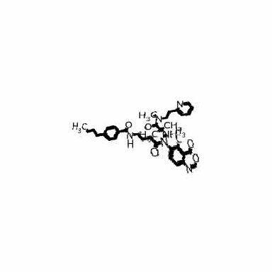 CCCCc1ccc(C(=O)NCCCC(=O)N(NC(C)(C)C(=O)N(C)CCc2ccccn2)c2ccc3ncoc(=O)c3c2C)cc1